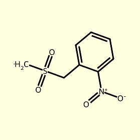 [CH2]S(=O)(=O)Cc1ccccc1[N+](=O)[O-]